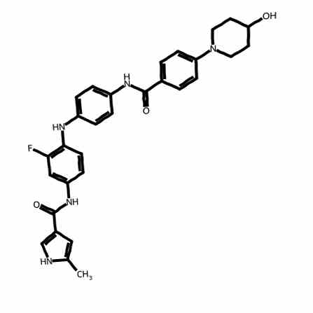 Cc1cc(C(=O)Nc2ccc(Nc3ccc(NC(=O)c4ccc(N5CCC(O)CC5)cc4)cc3)c(F)c2)c[nH]1